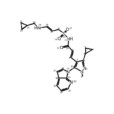 Cn1nc(C2CC2)c(/C=C/C(=O)NS(=O)(=O)CC=CNCC2CC2)c1-n1ccc2cccnc21